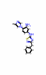 Cc1cn(-c2ccc(Nc3nc(Cc4ccccc4)ns3)cc2N)cn1